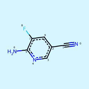 N#Cc1cnc(N)c(F)c1